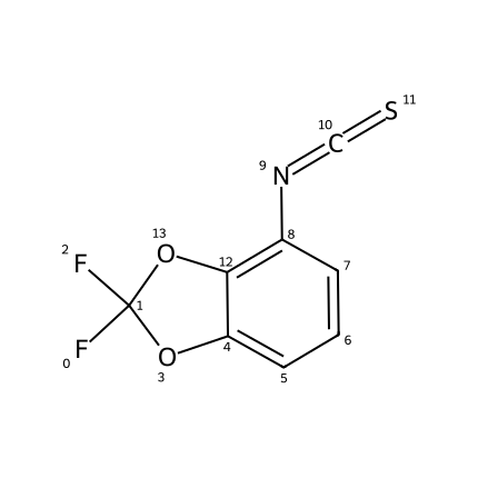 FC1(F)Oc2cccc(N=C=S)c2O1